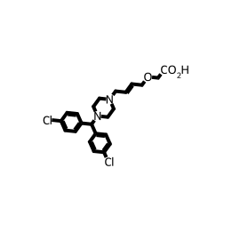 O=C(O)COCC=CCN1CCN(C(c2ccc(Cl)cc2)c2ccc(Cl)cc2)CC1